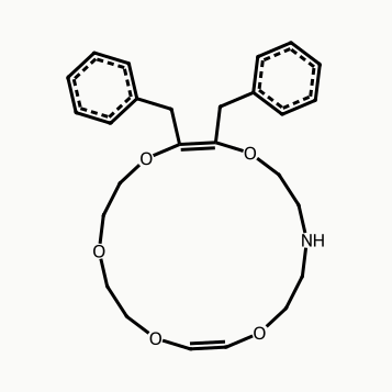 C1=COCCOCCOC(Cc2ccccc2)=C(Cc2ccccc2)OCCNCCO1